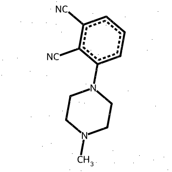 CN1CCN(c2cccc(C#N)c2C#N)CC1